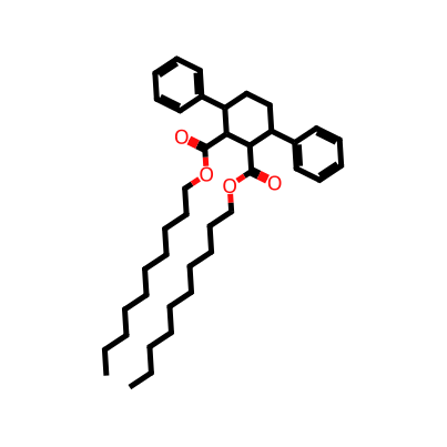 CCCCCCCCCCOC(=O)C1C(c2ccccc2)CCC(c2ccccc2)C1C(=O)OCCCCCCCCCC